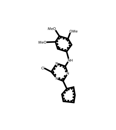 COc1cc(Nc2nc(Cl)nc(-c3ccccc3)n2)cc(OC)c1OC